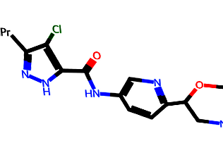 CC(C)c1n[nH]c(C(=O)Nc2ccc(C3CNCCO3)nc2)c1Cl